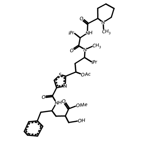 COC(=O)C(CO)CC(Cc1ccccc1)NC(=O)c1csc(C(CC(C(C)C)N(C)C(=O)C(NC(=O)C2CCCCN2C)C(C)C)OC(C)=O)n1